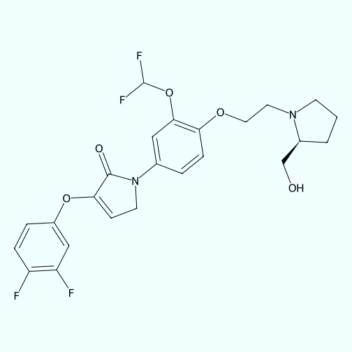 O=C1C(Oc2ccc(F)c(F)c2)=CCN1c1ccc(OCCN2CCC[C@H]2CO)c(OC(F)F)c1